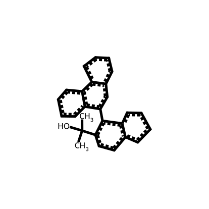 CC(C)(O)c1ccc2ccccc2c1-c1cc2ccccc2c2ccccc12